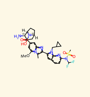 COc1cc(C(=O)N2[C@H]3CC[C@@H]2[C@H](N)[C@H](O)C3)cc2nc(-c3cc4ccc(N(C(F)F)S(C)(=O)=O)nc4n3CC3CC3)c(C)n12